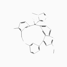 COc1cc2c3cc(ccc3n1)C(N)(c1nncn1C)c1ccc(Cl)c(c1)COc1cccc-2c1